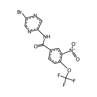 O=C(Nc1cnc(Br)cn1)c1ccc(OC(F)(F)F)c([N+](=O)[O-])c1